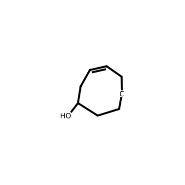 OC1CC=CCCCC1